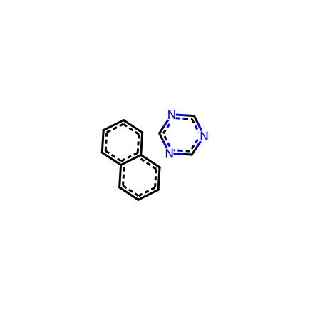 c1ccc2ccccc2c1.c1ncncn1